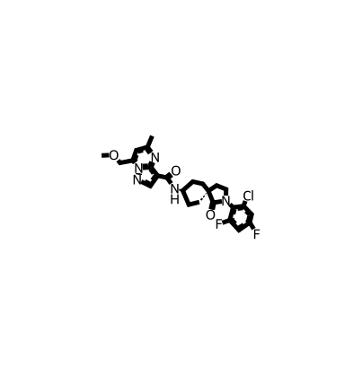 COCc1cc(C)nc2c(C(=O)N[C@H]3CC[C@@]4(CCN(c5c(F)cc(F)cc5Cl)C4=O)CC3)cnn12